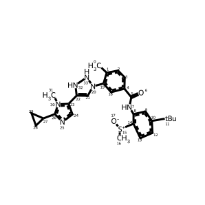 Cc1ccc(C(=O)Nc2cc(C(C)(C)C)ccc2[S+](C)[O-])cc1N1C=C(c2cnc(C3CC3)n2C)NN1